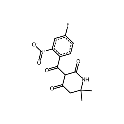 CC1(C)CC(=O)C(C(=O)c2ccc(F)cc2[N+](=O)[O-])C(=O)N1